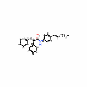 O=C(O)/C=C/c1ccc(NC(=O)C(Cc2ccccc2)c2ccccc2)cc1